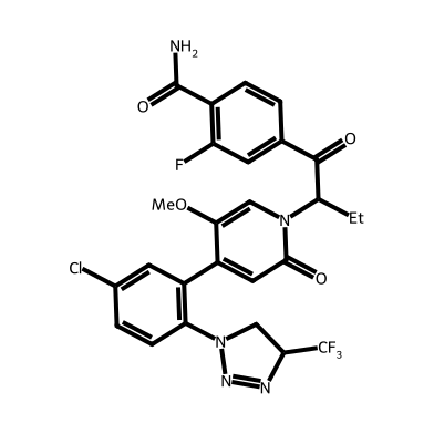 CCC(C(=O)c1ccc(C(N)=O)c(F)c1)n1cc(OC)c(-c2cc(Cl)ccc2N2CC(C(F)(F)F)N=N2)cc1=O